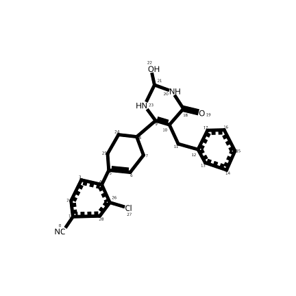 N#Cc1ccc(C2=CCC(C3=C(Cc4ccccc4)C(=O)NC(O)N3)CC2)c(Cl)c1